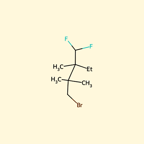 CCC(C)(C(F)F)C(C)(C)CBr